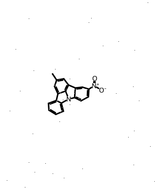 Cc1cc2c3ccccc3n3c4ccc([N+](=O)[O-])cc4c(c1)c23